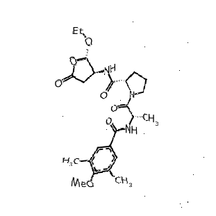 CCO[C@H]1OC(=O)C[C@@H]1NC(=O)[C@@H]1CCCN1C(=O)[C@H](C)NC(=O)c1cc(C)c(OC)c(C)c1